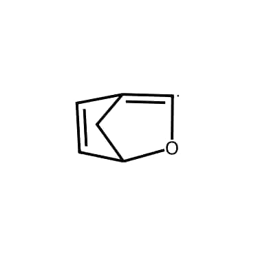 [C]1=C2C=CC(C2)O1